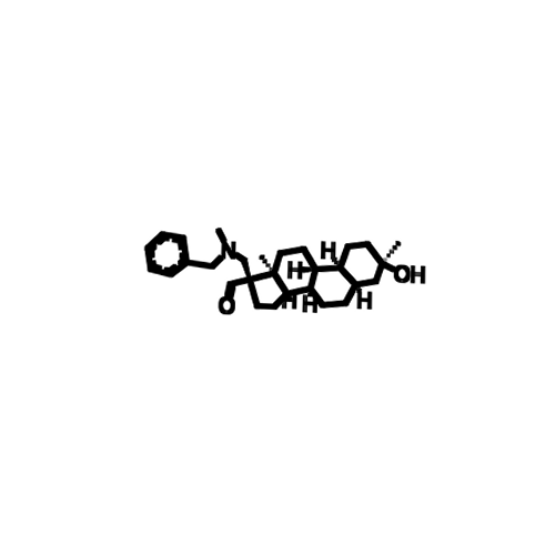 CN(Cc1ccccc1)C[C@]1(C=O)CC[C@H]2[C@@H]3CC[C@@H]4C[C@](C)(O)CC[C@@H]4[C@H]3CC[C@@]21C